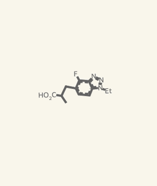 CCn1nnc2c(F)c(CC(C)C(=O)O)ccc21